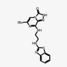 CC(C)(C)c1cn2c(=O)[nH]nc2c(NCCNc2nc3ccccc3s2)n1